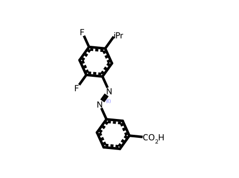 CC(C)c1cc(/N=N/c2cccc(C(=O)O)c2)c(F)cc1F